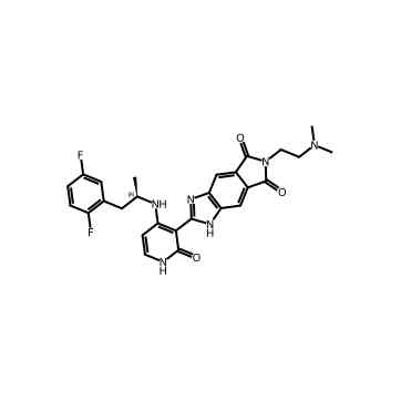 C[C@H](Cc1cc(F)ccc1F)Nc1cc[nH]c(=O)c1-c1nc2cc3c(cc2[nH]1)C(=O)N(CCN(C)C)C3=O